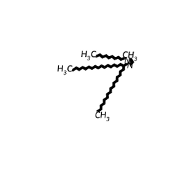 CCCCCCCCCCCCCCCCCC(CCCCCCCCCCCCCCCCC)c1nccn1C(C)CCCCCCCCCC